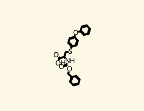 O=C(NC(CSc1ccc(Oc2ccccc2)cc1)C(=O)O)OCc1ccccc1